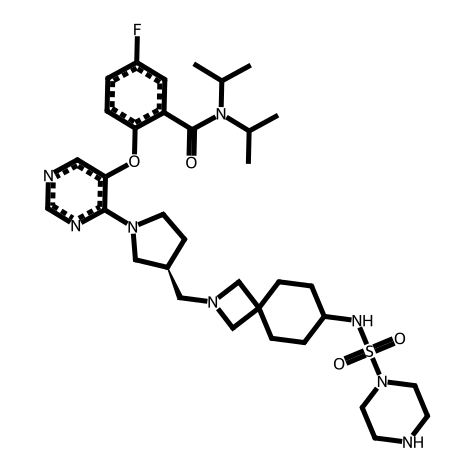 CC(C)N(C(=O)c1cc(F)ccc1Oc1cncnc1N1CC[C@@H](CN2CC3(CCC(NS(=O)(=O)N4CCNCC4)CC3)C2)C1)C(C)C